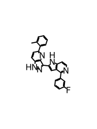 Cc1ccccc1-c1ccc2[nH]nc(-c3cc4c(-c5cccc(F)c5)nccc4[nH]3)c2n1